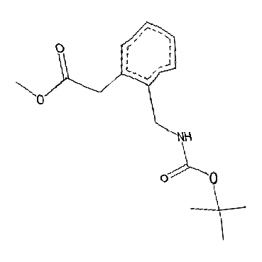 COC(=O)Cc1ccccc1CNC(=O)OC(C)(C)C